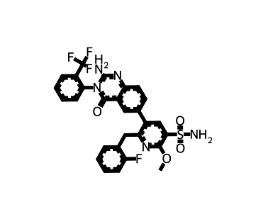 COc1nc(Cc2ccccc2F)c(-c2ccc3nc(N)n(-c4ccccc4C(F)(F)F)c(=O)c3c2)cc1S(N)(=O)=O